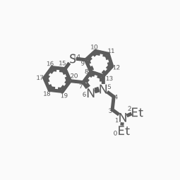 CCN(CC)CCn1nc2c3c(cccc31)Sc1ccccc1-2